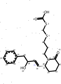 O=C(O)SCSCCCN1C(=O)CCC[C@@H]1/C=C/C(O)Cc1ccccc1